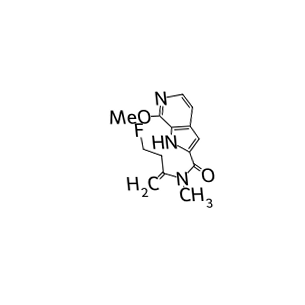 C=C(CCF)N(C)C(=O)c1cc2ccnc(OC)c2[nH]1